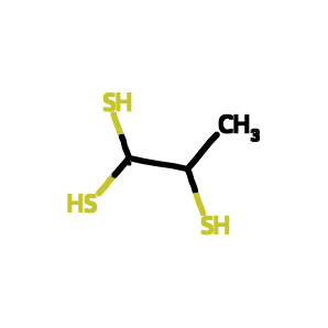 CC(S)[C](S)S